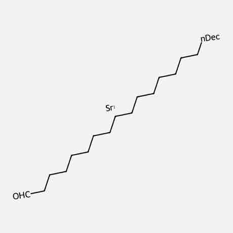 CCCCCCCCCCCCCCCCCCCCCCCCCC=O.[Sr]